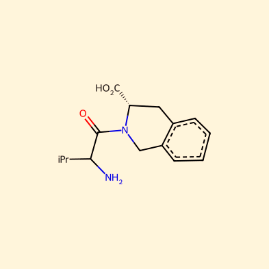 CC(C)C(N)C(=O)N1Cc2ccccc2C[C@H]1C(=O)O